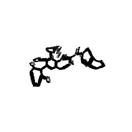 Cn1c(=O)c(-c2c(Cl)cccc2Cl)cc2cnc(NN3CC4CCCC4C3)nc21